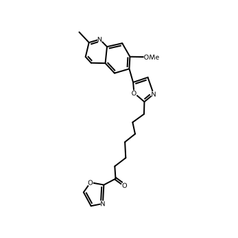 COc1cc2nc(C)ccc2cc1-c1cnc(CCCCCCC(=O)c2ncco2)o1